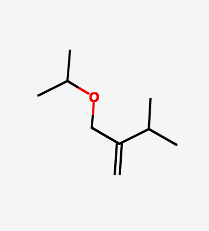 C=C(COC(C)C)C(C)C